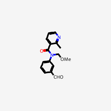 COCN(C(=O)c1cccnc1C)c1cccc(C=O)c1